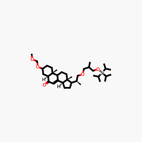 COCOC1CC[C@]2(C)C3CC[C@]4(C)C([C@H](C)COCC(C)CO[Si](C(C)C)(C(C)C)C(C)C)CC[C@H]4C3=CC(=O)[C@H]2C1